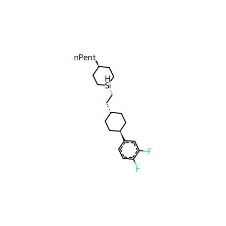 CCCCC[C@H]1CC[Si@H](CC[C@H]2CC[C@H](c3ccc(F)c(F)c3)CC2)CC1